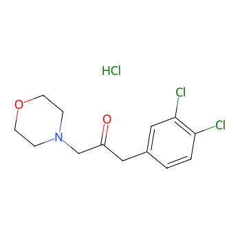 Cl.O=C(Cc1ccc(Cl)c(Cl)c1)CN1CCOCC1